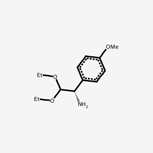 CCOC(OCC)[C@@H](N)c1ccc(OC)cc1